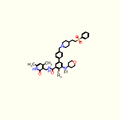 CCN(c1cc(-c2ccc(CN3CCC(CCS(=O)(=O)c4ccccc4)CC3)cc2)cc(C(=O)NCc2c(C)cc(C)[nH]c2=O)c1C)C1CCOCC1